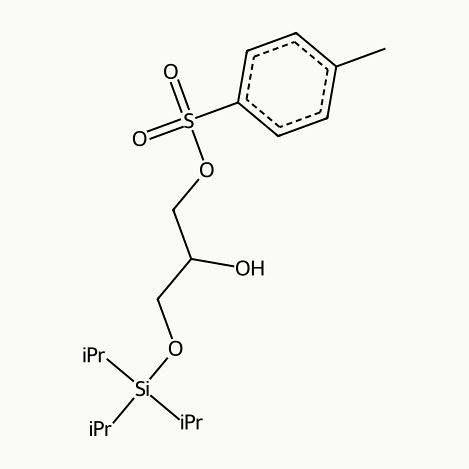 Cc1ccc(S(=O)(=O)OCC(O)CO[Si](C(C)C)(C(C)C)C(C)C)cc1